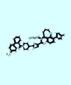 CCCCCCCN(C(=O)c1csc(C2CCN(C(=O)c3ccccc3-c3ccc(C(F)(F)F)cc3)CC2)n1)C1CCCOc2c(-c3ccc(F)cc3)cccc21